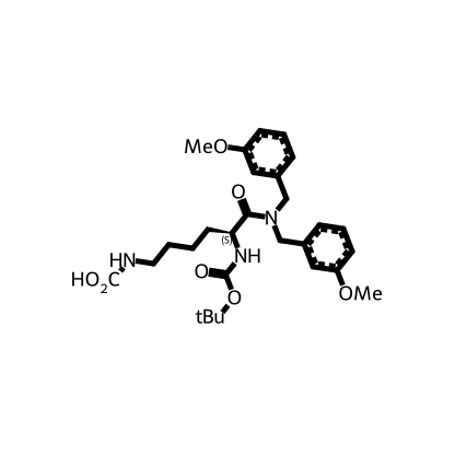 COc1cccc(CN(Cc2cccc(OC)c2)C(=O)[C@H](CCCCNC(=O)O)NC(=O)OC(C)(C)C)c1